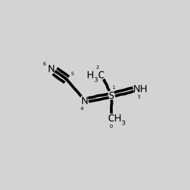 CS(C)(=N)=NC#N